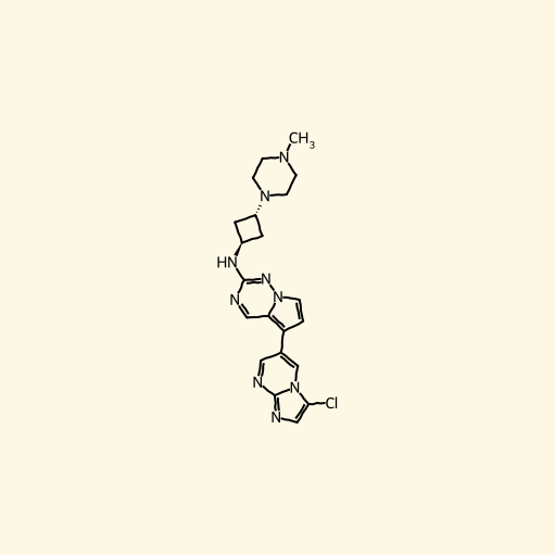 CN1CCN([C@H]2C[C@H](Nc3ncc4c(-c5cnc6ncc(Cl)n6c5)ccn4n3)C2)CC1